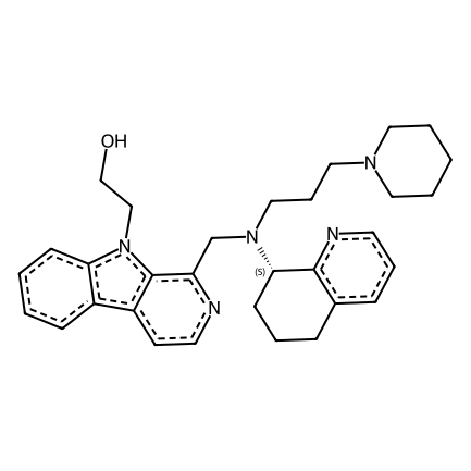 OCCn1c2ccccc2c2ccnc(CN(CCCN3CCCCC3)[C@H]3CCCc4cccnc43)c21